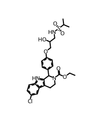 CCOC(=O)N1CCc2c([nH]c3ccc(Cl)cc23)C1c1ccc(OCC(O)CNS(=O)(=O)C(C)C)cc1